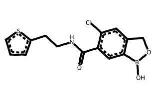 O=C(NCCc1cccs1)c1cc2c(cc1Cl)COB2O